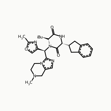 CC[C@H](C)[C@@H]1C(=O)N[C@H](C2Cc3ccccc3C2)C(=O)N1[C@H](c1coc(C)n1)c1ncc2n1CCN(C)C2